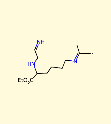 [CH2]C(C)=NCCCCC(NCC=N)C(=O)OCC